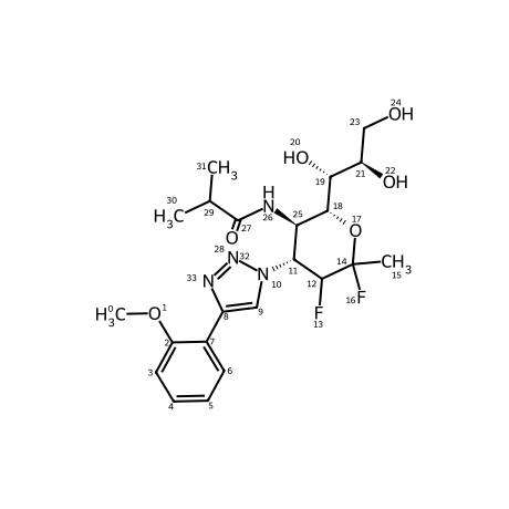 COc1ccccc1-c1cn([C@H]2C(F)C(C)(F)O[C@@H]([C@H](O)[C@H](O)CO)[C@@H]2NC(=O)C(C)C)nn1